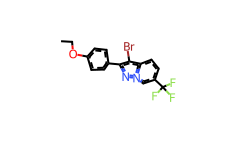 CCOc1ccc(-c2nn3cc(C(F)(F)F)ccc3c2Br)cc1